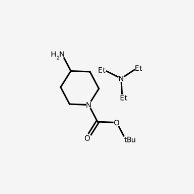 CC(C)(C)OC(=O)N1CCC(N)CC1.CCN(CC)CC